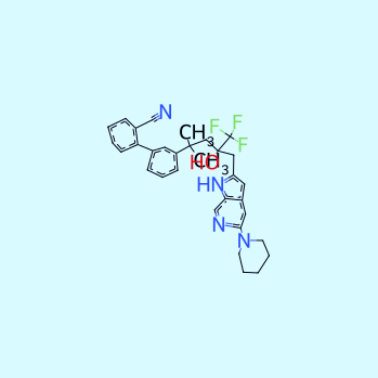 CC(C)(CC(O)(Cc1cc2cc(N3CCCCC3)ncc2[nH]1)C(F)(F)F)c1cccc(-c2ccccc2C#N)c1